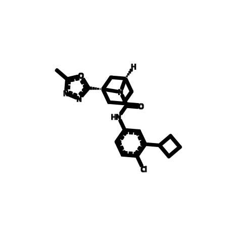 Cc1nnc([C@]23CCC[C@H](C2)N3C(=O)Nc2ccc(Cl)c(C3CCC3)c2)o1